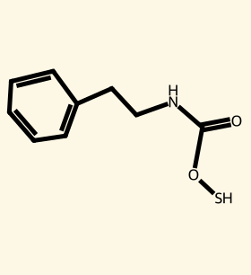 O=C(NCCc1ccccc1)OS